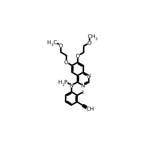 C#Cc1cccc(N(P)c2ncnc3cc(OCCOC)c(OCCOC)cc23)c1I